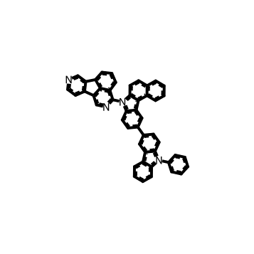 c1ccc(-n2c3ccccc3c3cc(-c4ccc5c(c4)c4c6ccccc6ccc4n5-c4ncc5c6c(cccc46)-c4cnccc4-5)ccc32)cc1